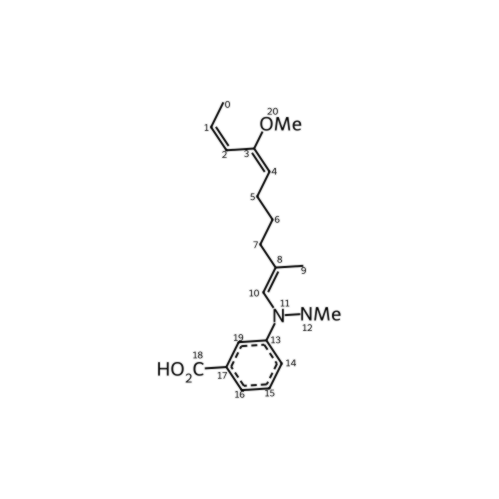 C/C=C\C(=C/CCC/C(C)=C/N(NC)c1cccc(C(=O)O)c1)OC